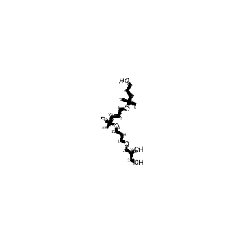 CC(C)(CCCO)OCCCC(C)(F)OCCCOCC(O)CO